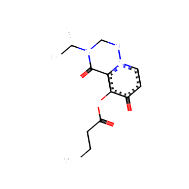 COCCC(=O)Oc1c2n(ccc1=O)NCN([C@H](C)C(F)(F)F)C2=O